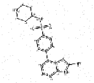 CC(C)c1cc2c(-c3ccc(S(=O)(=O)NC4CCNCC4)cc3)ccnc2[nH]1